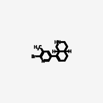 Cc1cc(C2=CCC[C@H]3CCNC[C@@H]23)cnc1Br